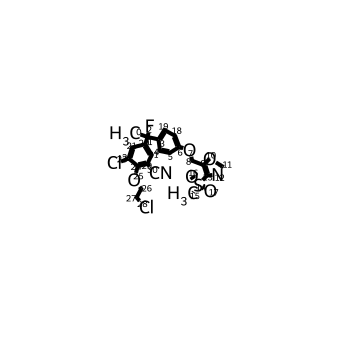 CC(F)(c1ccc(OCc2ocnc2S(C)(=O)=O)cc1)c1cc(Cl)c(OCCCl)c(C#N)c1